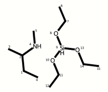 CCC(C)NC.CCO[SiH](OCC)OCC